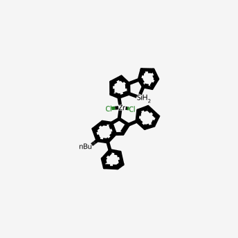 CCCCc1ccc2c(c1-c1ccccc1)C=C(c1ccccc1)[CH]2[Zr]([Cl])([Cl])[c]1cccc2c1[SiH2]c1ccccc1-2